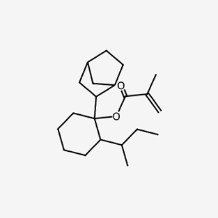 C=C(C)C(=O)OC1(C2CC3CCC2C3)CCCCC1C(C)CC